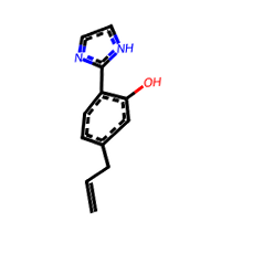 C=CCc1ccc(-c2ncc[nH]2)c(O)c1